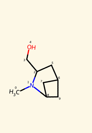 CN1C(CO)CC2CC1C2